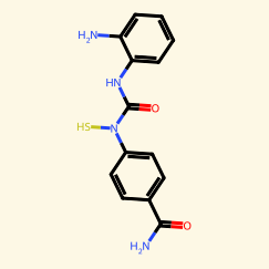 NC(=O)c1ccc(N(S)C(=O)Nc2ccccc2N)cc1